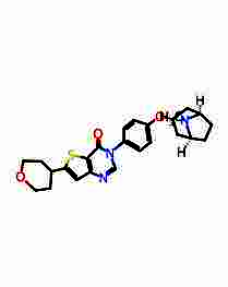 CN1[C@@H]2CC[C@H]1C[C@@H](Oc1ccc(-n3cnc4cc(C5CCOCC5)sc4c3=O)cc1)C2